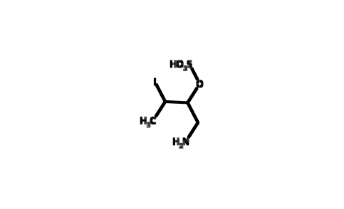 CC(I)C(CN)OS(=O)(=O)O